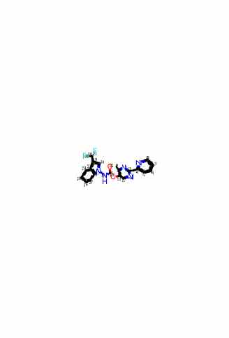 Cc1nc(-c2ccccn2)ncc1OC(=O)Nn1cc(C(F)F)c2ccccc21